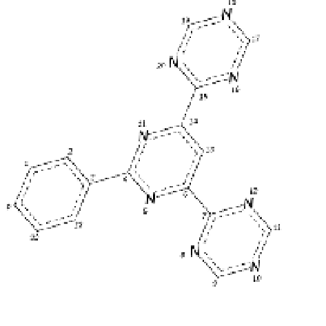 c1ccc(-c2nc(-c3ncncn3)cc(-c3ncncn3)n2)cc1